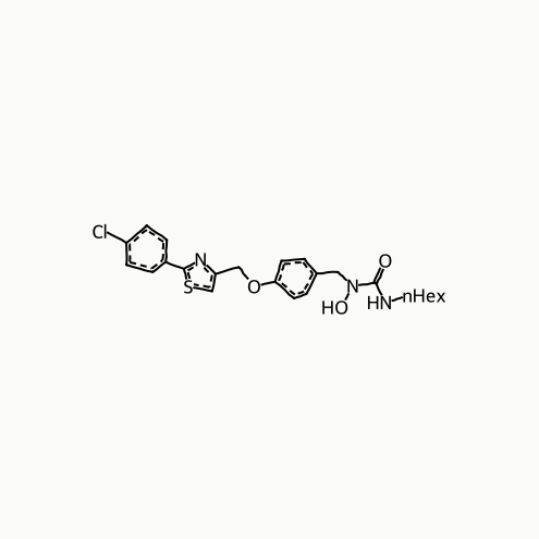 CCCCCCNC(=O)N(O)Cc1ccc(OCc2csc(-c3ccc(Cl)cc3)n2)cc1